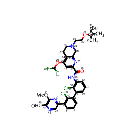 COc1nc(-c2cccc(-c3cccc(NC(=O)c4cc(OC(F)F)c5c(n4)CN(CCO[Si](C)(C)C(C)(C)C)CC5)c3Cl)c2Cl)cnc1C=O